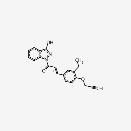 C#CCOc1ccc(/C=C/C(=O)n2nc(O)c3ccccc32)cc1CC